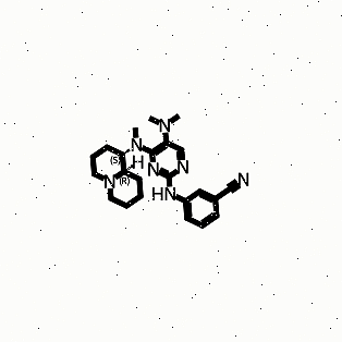 CN(C)c1cnc(Nc2cccc(C#N)c2)nc1N(C)[C@H]1CCCN2CCCC[C@H]12